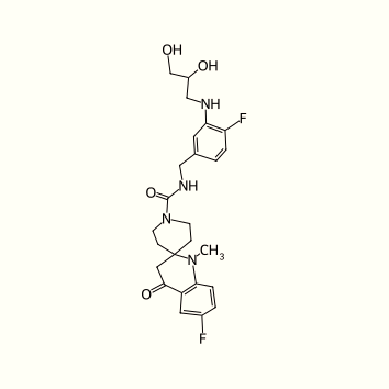 CN1c2ccc(F)cc2C(=O)CC12CCN(C(=O)NCc1ccc(F)c(NCC(O)CO)c1)CC2